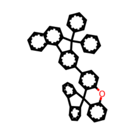 c1ccc(C2(c3ccccc3)c3cc(-c4ccc5c(c4)C4(c6ccccc6O5)c5ccccc5-c5ccccc54)ccc3-c3c2ccc2ccccc32)cc1